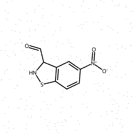 O=CC1NSc2ccc([N+](=O)[O-])cc21